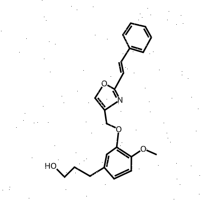 COc1ccc(CCCO)cc1OCc1coc(/C=C/c2ccccc2)n1